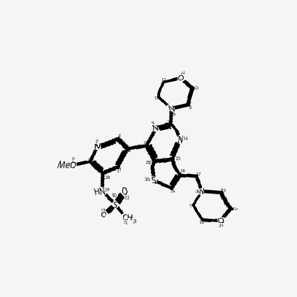 COc1ncc(-c2nc(N3CCOCC3)nc3c(CN4CCOCC4)csc23)cc1NS(C)(=O)=O